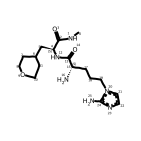 CNC(=O)[C@H](CC1CCOCC1)NC(=O)[C@@H](N)CCCn1ccnc1N